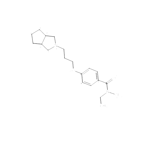 CCN(C)C(=O)c1ccc(OCCCN2CC3CCCC3C2)cc1